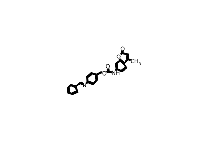 Cc1cc(=O)oc2cc(NC(=O)OCc3ccc(N=Cc4ccccc4)cc3)ccc12